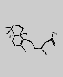 CC1=C(CC[C@H](C)CC(=O)O)[C@@]2(C)CCCC(C)(C)[C@@H]2CC1